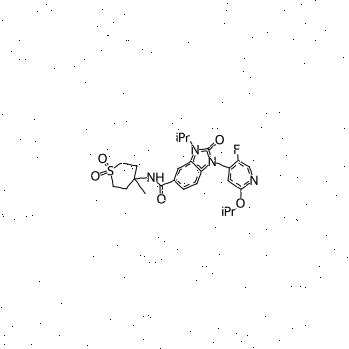 CC(C)Oc1cc(-n2c(=O)n(C(C)C)c3cc(C(=O)NC4(C)CCS(=O)(=O)CC4)ccc32)c(F)cn1